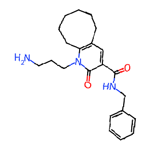 NCCCn1c2c(cc(C(=O)NCc3ccccc3)c1=O)CCCCCC2